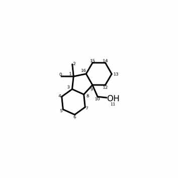 CC1(C)C2CCCCC2C2(CO)CCCCC12